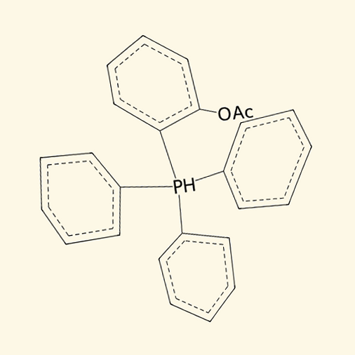 CC(=O)Oc1ccccc1[PH](c1ccccc1)(c1ccccc1)c1ccccc1